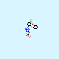 CC[C@@H](N/C(C)=C/C(=O)OC)c1ccc(Cl)c(Oc2ccccc2)c1F